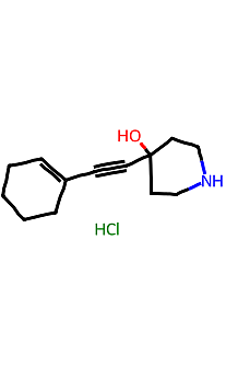 Cl.OC1(C#CC2=CCCCC2)CCNCC1